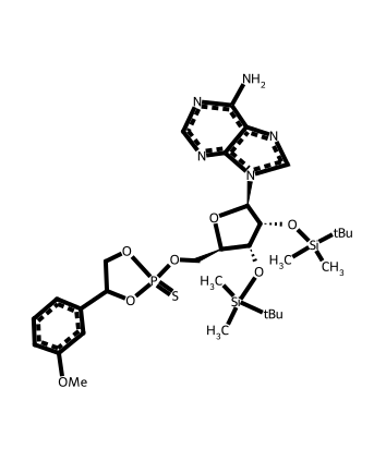 COc1cccc(C2COP(=S)(OC[C@H]3O[C@@H](n4cnc5c(N)ncnc54)[C@H](O[Si](C)(C)C(C)(C)C)[C@@H]3O[Si](C)(C)C(C)(C)C)O2)c1